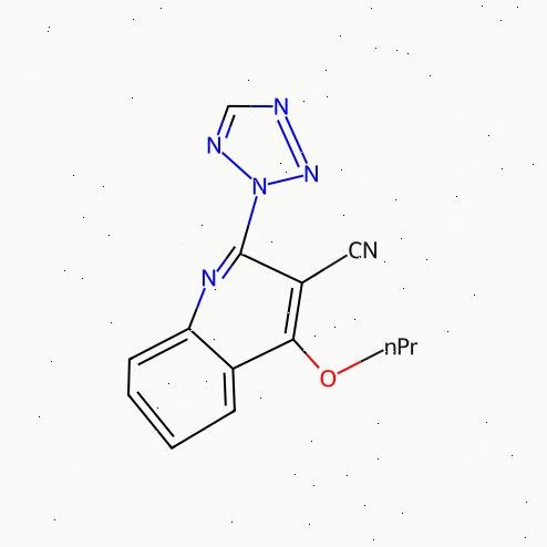 CCCOc1c(C#N)c(-n2ncnn2)nc2ccccc12